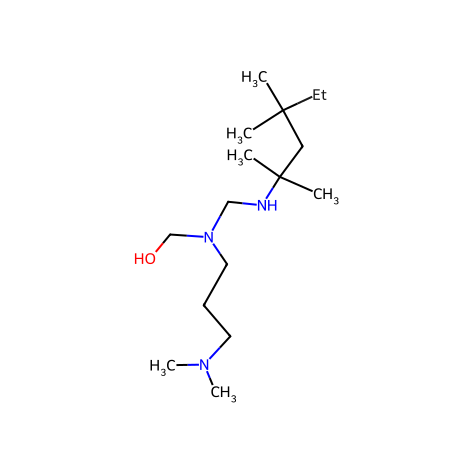 CCC(C)(C)CC(C)(C)NCN(CO)CCCN(C)C